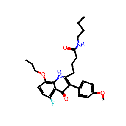 CCCCNC(=O)CCCc1[nH]c2c(OCCC)ccc(F)c2c(=O)c1-c1ccc(OC)cc1